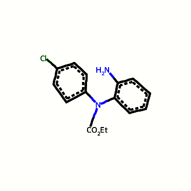 CCOC(=O)N(c1ccc(Cl)cc1)c1ccccc1N